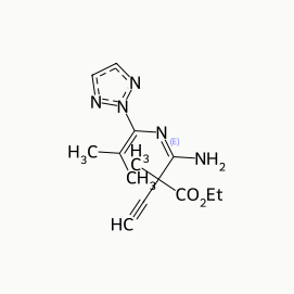 C#CC(C)(C(=O)OCC)/C(N)=N\C(=C(C)C)n1nccn1